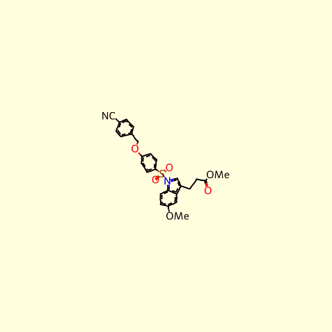 COC(=O)CCc1cn(S(=O)(=O)c2ccc(OCc3ccc(C#N)cc3)cc2)c2ccc(OC)cc12